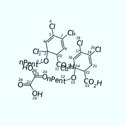 CCCCCOC1(Cl)C=C(Cl)C(Cl)=CC1C(=O)O.CCCCCOC1(Cl)C=C(Cl)C(Cl)=CC1C(=O)O.O=C(O)C(=O)O